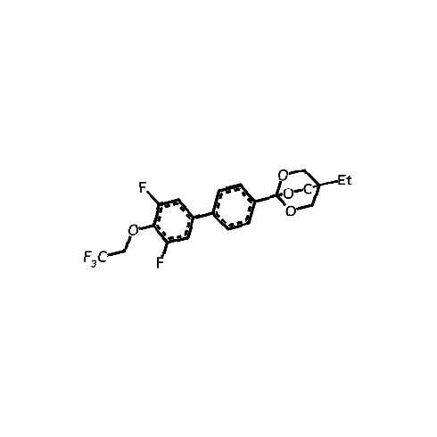 CCC12COC(c3ccc(-c4cc(F)c(OCC(F)(F)F)c(F)c4)cc3)(OC1)OC2